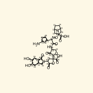 Nc1nc(/C(=N/OC2(C(=O)O)CC3CCC(C2)N3)C(=O)N[C@H]2CON(C3(C(=O)O)CC(n4cc5cc(O)c(O)cn5c4=O)C(=O)O3)C2=O)cs1